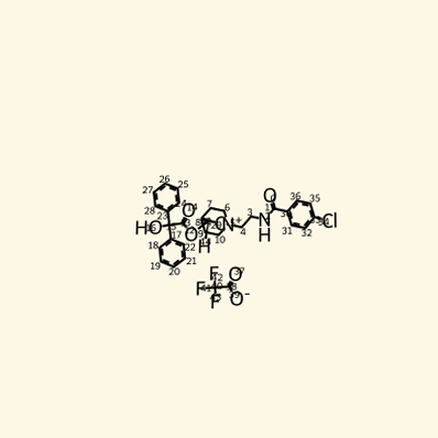 O=C(NCC[N+]12CCC(CC1)[C@@H](OC(=O)C(O)(c1ccccc1)c1ccccc1)C2)c1ccc(Cl)cc1.O=C([O-])C(F)(F)F